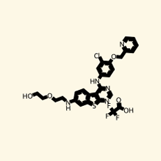 O=C(O)C(F)(F)F.OCCOCCNc1ccc2c(c1)sc1ncnc(Nc3ccc(OCc4ccccn4)c(Cl)c3)c12